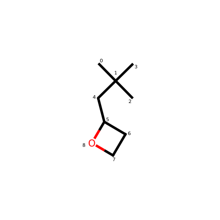 CC(C)(C)CC1CCO1